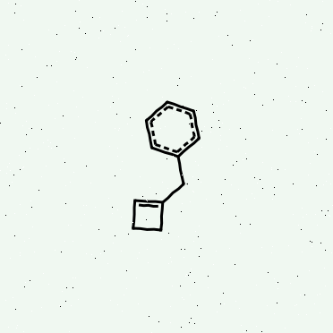 [CH](C1=CCC1)c1ccccc1